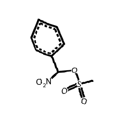 CS(=O)(=O)OC(c1ccccc1)[N+](=O)[O-]